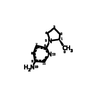 C[C@@H]1CCCN1c1ccc(N)cn1